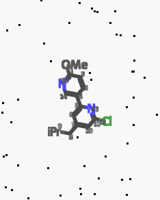 COc1ccc(-c2cc(CC(C)C)cc(Cl)n2)cn1